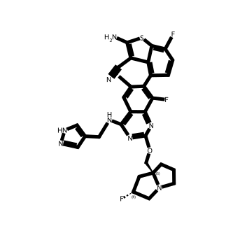 N#Cc1c(N)sc2c(F)ccc(-c3c(F)cc4c(NCc5cn[nH]c5)nc(OC[C@@]56CCCN5C[C@H](F)C6)nc4c3F)c12